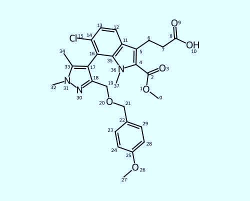 COC(=O)c1c(CCC(=O)O)c2ccc(Cl)c(-c3c(COCc4ccc(OC)cc4)nn(C)c3C)c2n1C